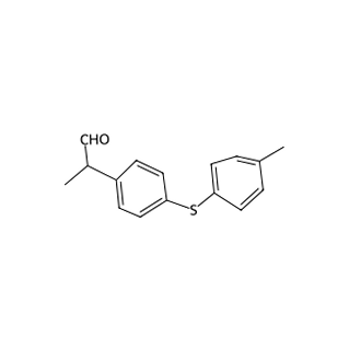 Cc1ccc(Sc2ccc(C(C)C=O)cc2)cc1